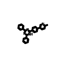 Cc1ccc(-c2ccc(C3=NC(c4ccccc4)=NC(c4ccccc4)N3)cc2)cn1